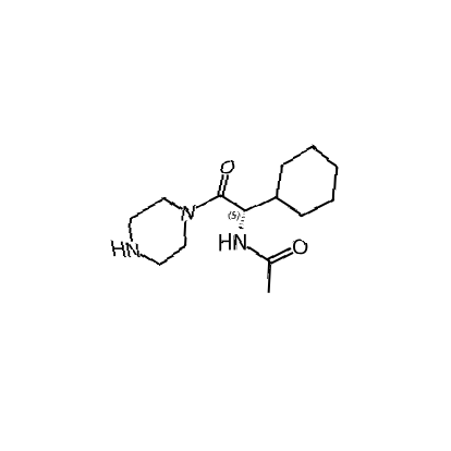 CC(=O)N[C@H](C(=O)N1CCNCC1)C1CCCCC1